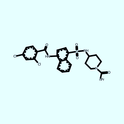 CCCC(=O)N1CCC(NS(=O)(=O)c2ccc(NC(=O)c3ccc(Cl)cc3Cl)c3ccccc23)CC1